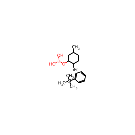 CC1CCC(C(C)C)C(OB(O)O)C1.C[Si](C)(C)c1ccccc1